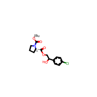 CC(C)(C)OC(=O)N1CCC[C@H]1C(=O)OCC(O)c1ccc(Cl)cc1